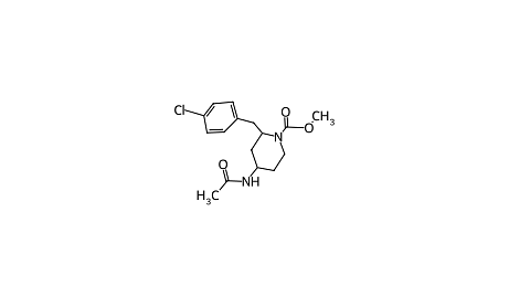 COC(=O)N1CCC(NC(C)=O)CC1Cc1ccc(Cl)cc1